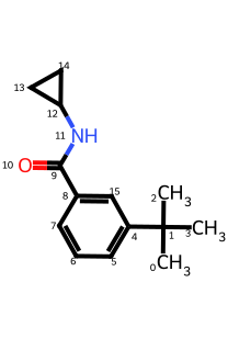 CC(C)(C)c1cccc(C(=O)NC2CC2)c1